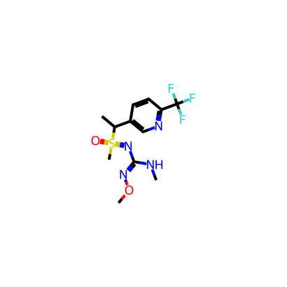 CN/C(N=S(C)(=O)C(C)c1ccc(C(F)(F)F)nc1)=N\OC